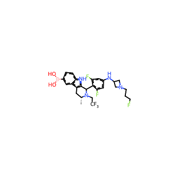 C[C@@H]1Cc2c([nH]c3ccc(B(O)O)cc23)C(c2c(F)cc(NC3CN(CCCF)C3)cc2F)N1CC(F)(F)F